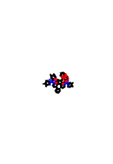 Cc1ccc(N(c2ccc(C)c(C)c2)c2ccc3c(c2)C2(c4cc(N(c5ccc(C)c(C)c5)c5ccc(C)c(C)c5)ccc4-c4ccccc4-3)c3ccccc3-c3c2ccc2oc4ccccc4c32)cc1C